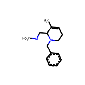 CC1=CCCN(Cc2ccccc2)C1CNC(=O)O